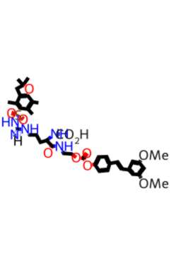 [H]/N=C(\NCCCC(NC(=O)O)C(=O)NCCOC(=O)Oc1ccc(C=Cc2cc(OC)cc(OC)c2)cc1)NS(=O)(=O)c1c(C)c(C)c2c(c1C)CC(C)(C)O2